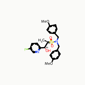 COc1ccc(CN(Cc2ccc(OC)cc2)S(=O)(=O)[C@H](C)[C@H](O)c2ccc(F)cn2)cc1